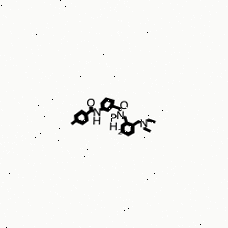 CCN(CC)Cc1ccccc1CN(P)C(=O)c1cccc(NC(=O)c2ccc(C)cc2)c1